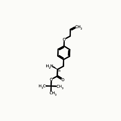 C=CCOc1ccc(C[C@H](N)C(=O)OC(C)(C)C)cc1